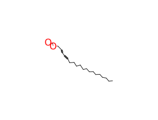 CCCCCCCCCCCCCCC#CC#CCOC=O